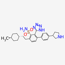 C[C@H]1CC[C@H](CCc2ccc(-c3ccc(C4CCNC4)cc3)c(-c3nnn[nH]3)c2S(N)(=O)=O)CC1